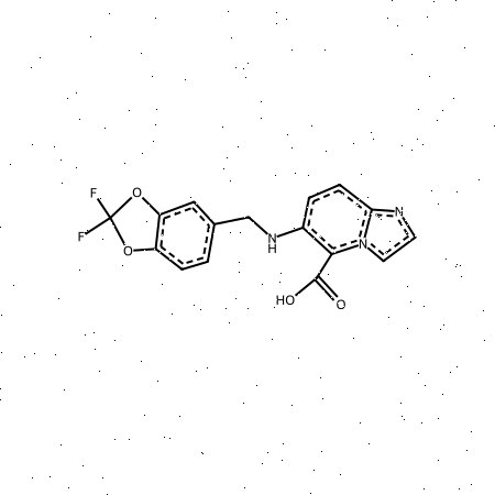 O=C(O)c1c(NCc2ccc3c(c2)OC(F)(F)O3)ccc2nccn12